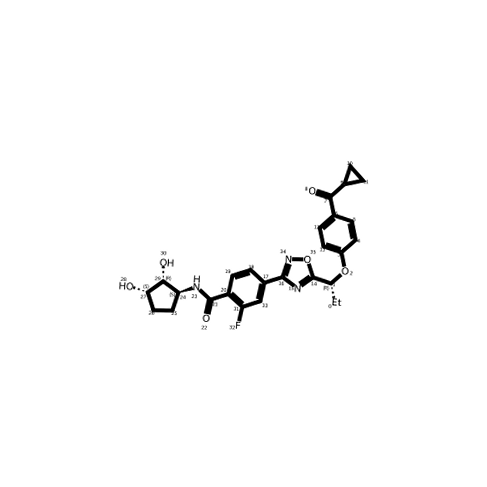 CC[C@@H](Oc1ccc(C(=O)C2CC2)cc1)c1nc(-c2ccc(C(=O)N[C@H]3CC[C@H](O)[C@@H]3O)c(F)c2)no1